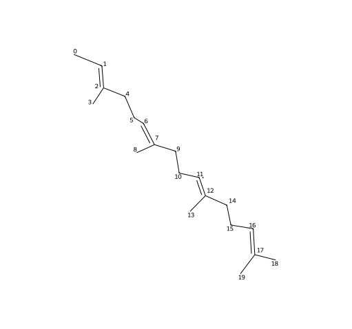 C/C=C(\C)CC/C=C(\C)CC/[C]=C(\C)CCC=C(C)C